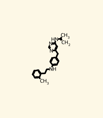 C=C(C)Nc1cc(Cc2ccc(NCCc3ccccc3C)cc2)ncn1